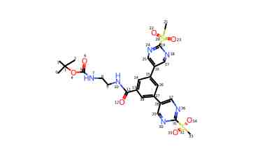 CC(C)(C)OC(=O)NCCNC(=O)c1cc(-c2cnc(S(C)(=O)=O)nc2)cc(-c2cnc(S(C)(=O)=O)nc2)c1